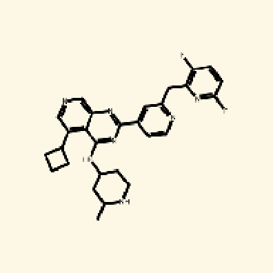 CC1CC(Nc2nc(-c3ccnc(Cc4nc(F)ccc4F)c3)nc3cncc(C4CCC4)c23)CCN1